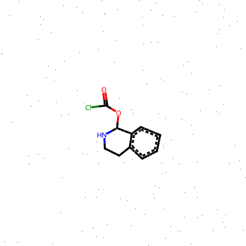 O=C(Cl)OC1NCCc2ccccc21